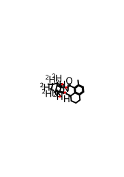 [2H]C1([2H])N2C([2H])(C)C([2H])([2H])[C@@]([2H])(C1([2H])C)[C@](C)(N1C[C@H]3CCCc4ccc(C)c(c43)C1=O)C2(C)C